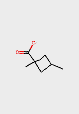 CC1CC(C)(C([O])=O)C1